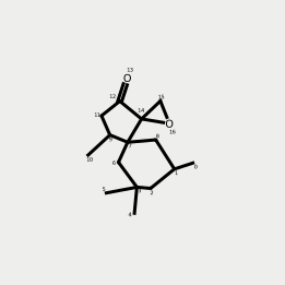 CC1CC(C)(C)CC2(C1)C(C)CC(=O)C21CO1